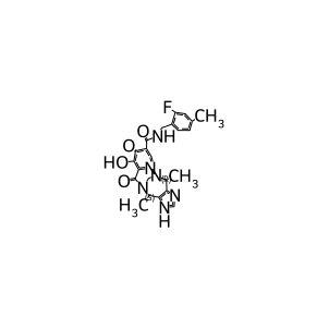 Cc1ccc(CNC(=O)c2cn3c(c(O)c2=O)C(=O)N2CN3[C@H](C)c3nc[nH]c3[C@@H]2C)c(F)c1